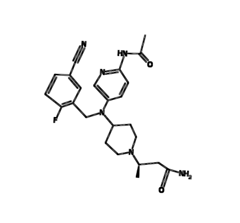 CC(=O)Nc1ccc(N(Cc2cc(C#N)ccc2F)C2CCN([C@H](C)CC(N)=O)CC2)cn1